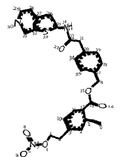 Cc1cc(CCO[N+](=O)[O-])ccc1C(=O)OCc1ccc(CC(=O)Nc2cc3ccncc3s2)cc1